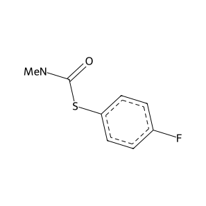 CNC(=O)Sc1ccc(F)cc1